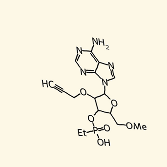 C#CCOC1C(OP(=O)(O)CC)C(COC)OC1n1cnc2c(N)ncnc21